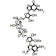 COC1[C@@H](O)[C@@H](COP(=O)(O)OP(=O)(S)OP(=O)(O)OP(=O)(O)OC[C@H]2O[C@@H](n3cnc4c(=O)[nH]c(N)nc43)C(O)[C@H]2O)O[C@H]1n1c[n+](C)c2c(O)nc(N)nc21